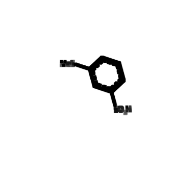 CSc1cccc(S(=O)(=O)O)c1